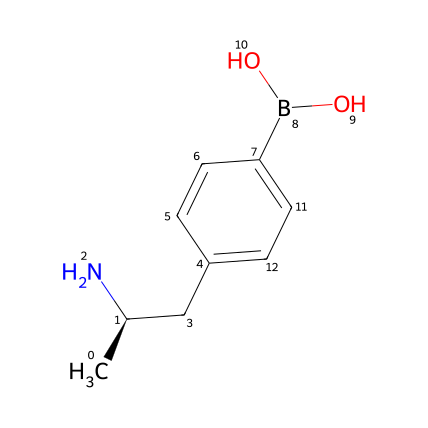 C[C@@H](N)Cc1ccc(B(O)O)cc1